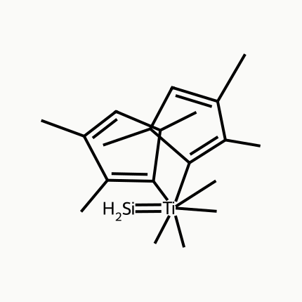 CC1=CC(C)[C]([Ti]([CH3])([CH3])([CH3])([CH3])(=[SiH2])[C]2=C(C)C(C)=CC2C)=C1C